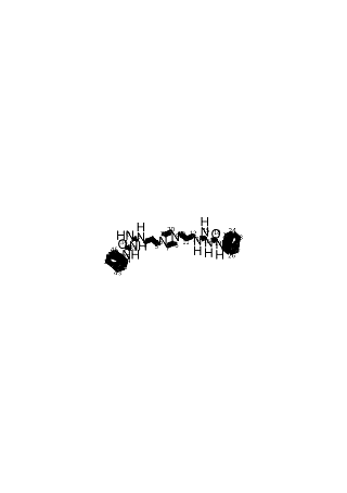 N=C(NCCCN1CCN(CCCNC(=N)NC(=O)NC23CC4CC(CC(C4)C2)C3)CC1)NC(=O)NC12CC3CC(CC(C3)C1)C2